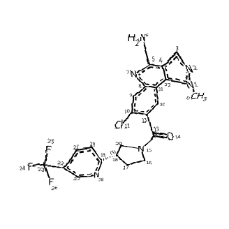 Cn1ncc2c(N)nc3cc(Cl)c(C(=O)N4CC[C@H](c5ccc(C(F)(F)F)cn5)C4)cc3c21